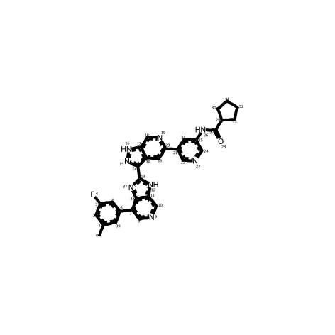 Cc1cc(F)cc(-c2cncc3[nH]c(-c4n[nH]c5cnc(-c6cncc(NC(=O)C7CCCC7)c6)cc45)nc23)c1